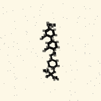 CC(C)(F)CN1CCC(COc2ccc(-c3ccc(C(=O)O)cc3F)cc2F)CC1